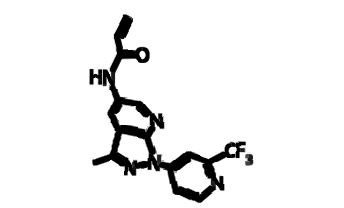 C=CC(=O)Nc1cnc2c(c1)c(C)nn2-c1ccnc(C(F)(F)F)c1